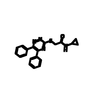 O=C(CSc1nnc(-c2ccccc2)c(-c2ccccc2)n1)NC1CC1